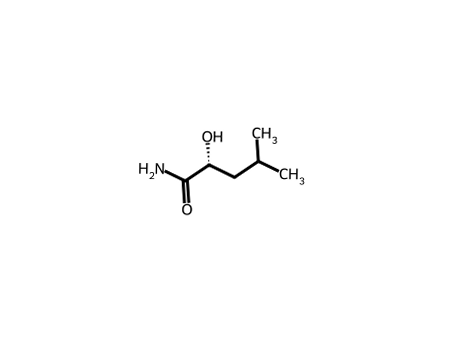 CC(C)C[C@@H](O)C(N)=O